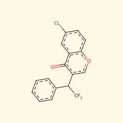 O=c1c(C(c2ccccc2)C(F)(F)F)coc2ccc(Cl)cc12